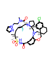 C[C@@H]1[C@@H](C)C/C=C(\F)[C@H](C(=O)N(C)CCn2cccn2)N2CCC[C@H]2CN2C[C@@]3(CCCc4cc(Cl)ccc43)COc3ccc(cc32)C(=O)NS1(=O)=O